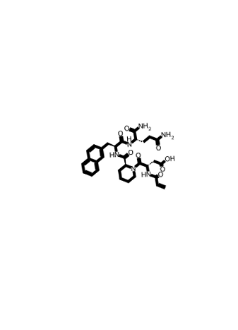 C=CC(=O)N[C@@H](CC(=O)O)C(=O)N1CCCC[C@H]1C(=O)N[C@@H](Cc1ccc2ccccc2c1)C(=O)N[C@@H](CCC(N)=O)C(N)=O